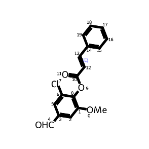 COc1cc(C=O)cc(Cl)c1OC(=O)/C=C/c1ccccc1